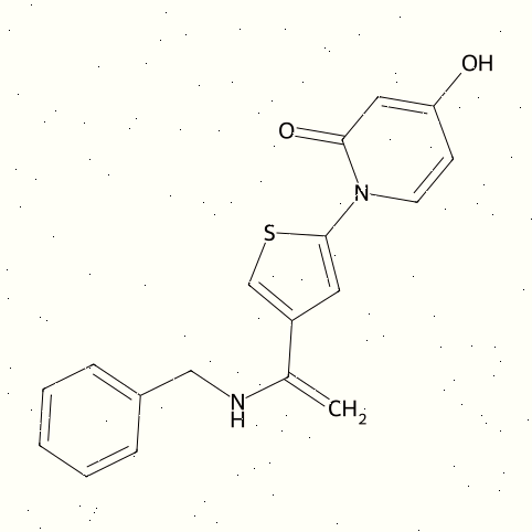 C=C(NCc1ccccc1)c1csc(-n2ccc(O)cc2=O)c1